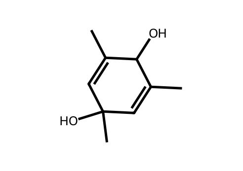 CC1=CC(C)(O)C=C(C)C1O